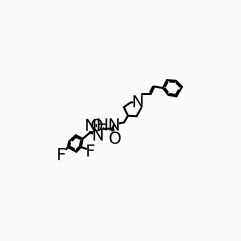 O=C(NCC1CCN(C/C=C/c2ccccc2)CC1)c1nc(-c2ccc(F)cc2F)no1